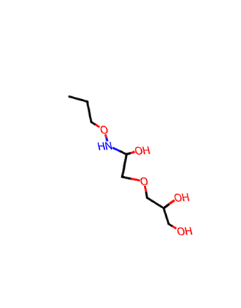 CCCONC(O)COCC(O)CO